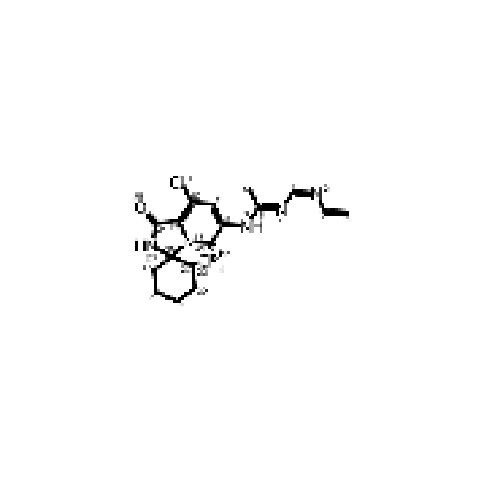 C=C/N=C\N=C(/C)Nc1cc(Cl)c2n(c1=O)C1(CCCCC1C(F)(F)F)NC2=O